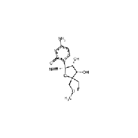 COC[C@@]1(CF)O[C@@](C#N)(n2ccc(N)nc2=O)[C@H](O)[C@@H]1O